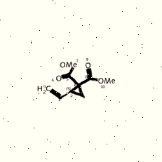 C=C[C@@H]1CC1(C(=O)OC)C(=O)OC